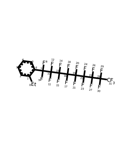 CCc1ccccc1C(F)(F)C(F)(F)C(F)(F)C(F)(F)C(F)(F)C(F)(F)C(F)(F)C(F)(F)C(F)(F)F